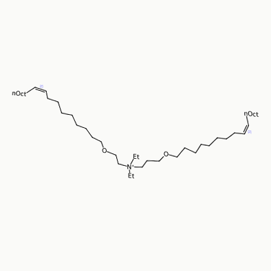 CCCCCCCC/C=C\CCCCCCCCOCCC[N+](CC)(CC)CCOCCCCCCCC/C=C\CCCCCCCC